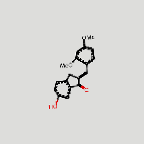 COc1ccc(/C=C2\Cc3ccc(O)cc3C2=O)c(OC)c1